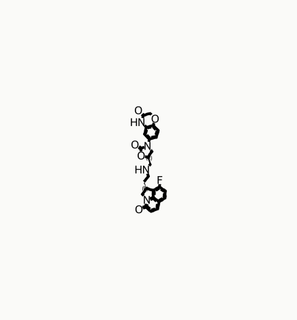 O=C1COc2ccc(N3C[C@@H](CNCC[C@H]4Cn5c(=O)ccc6ccc(F)c4c65)OC3=O)cc2N1